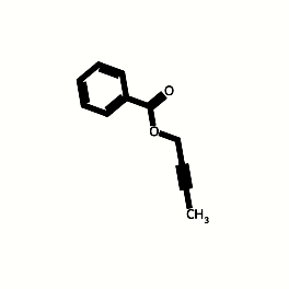 CC#CCOC(=O)c1ccccc1